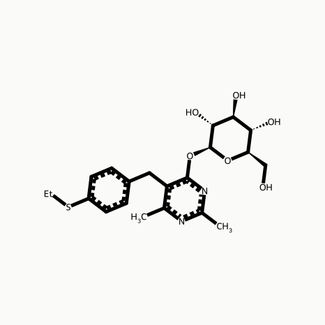 CCSc1ccc(Cc2c(C)nc(C)nc2O[C@@H]2O[C@H](CO)[C@@H](O)[C@H](O)[C@H]2O)cc1